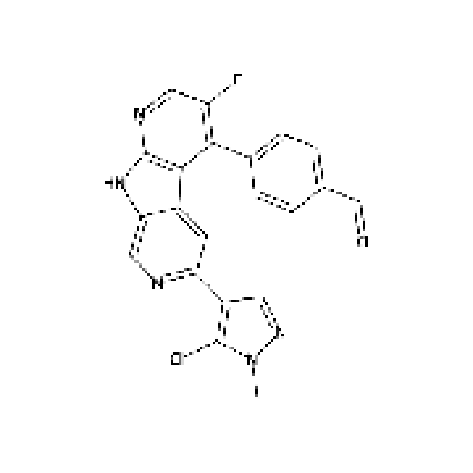 Cn1ncc(-c2cc3c(cn2)[nH]c2ncc(F)c(-c4ccc([C]=O)cc4)c23)c1Cl